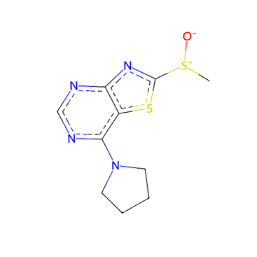 C[S+]([O-])c1nc2ncnc(N3CCCC3)c2s1